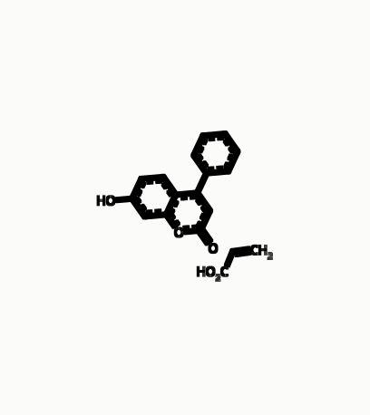 C=CC(=O)O.O=c1cc(-c2ccccc2)c2ccc(O)cc2o1